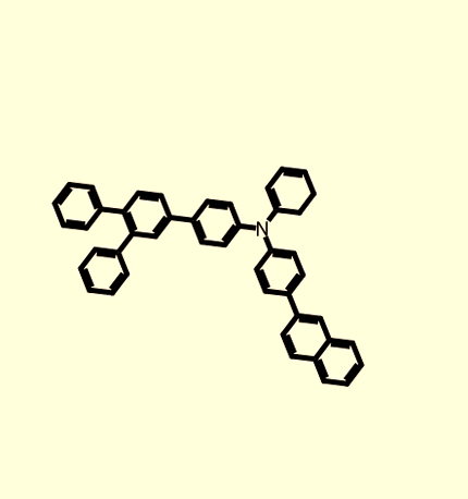 C1=CCCC(N(c2ccc(-c3ccc(-c4ccccc4)c(-c4ccccc4)c3)cc2)c2ccc(-c3ccc4ccccc4c3)cc2)=C1